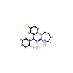 Cl.Clc1cccc(C(N=C2CCCCCN2)c2ccccc2)c1